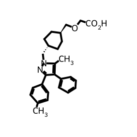 Cc1ccc(-c2nn(C[C@H]3CC[C@H](COCC(=O)O)CC3)c(C)c2-c2ccccc2)cc1